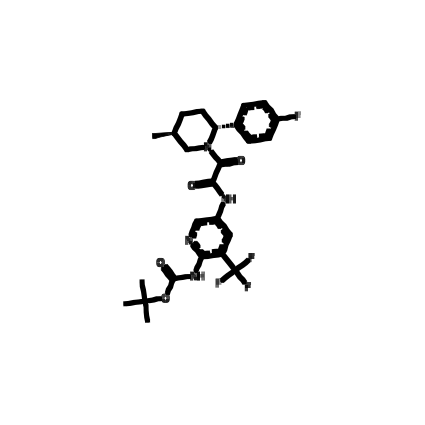 C[C@H]1CC[C@H](c2ccc(F)cc2)N(C(=O)C(=O)Nc2cnc(NC(=O)OC(C)(C)C)c(C(F)(F)F)c2)C1